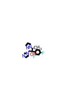 C[C@@H](n1cccn1)[C@](O)(Cn1ccnc1)c1ccc(F)cc1F